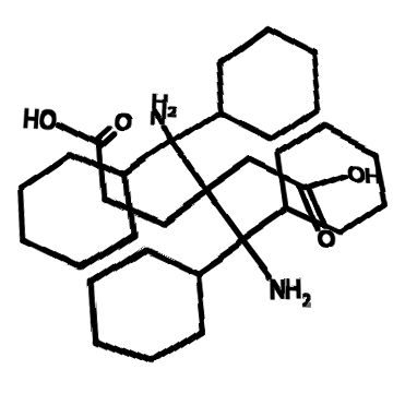 NC(C1CCCCC1)(C1CCCCC1)C(CCC(=O)O)(CC(=O)O)C(N)(C1CCCCC1)C1CCCCC1